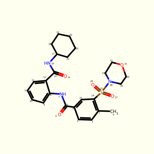 Cc1ccc(C(=O)Nc2ccccc2C(=O)NC2CCCCC2)cc1S(=O)(=O)N1CCOCC1